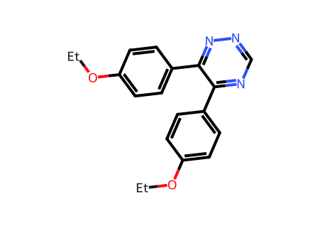 CCOc1ccc(-c2ncnnc2-c2ccc(OCC)cc2)cc1